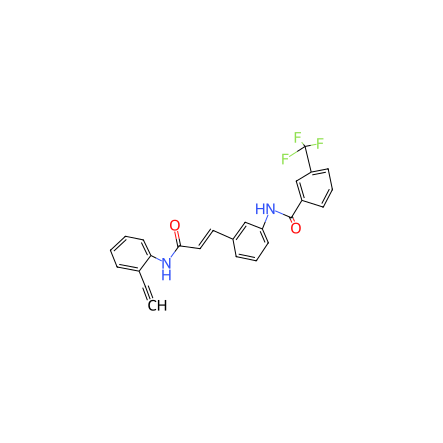 C#Cc1ccccc1NC(=O)/C=C/c1cccc(NC(=O)c2cccc(C(F)(F)F)c2)c1